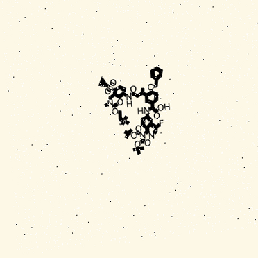 CC(CC(=O)Nc1ccc(S(=O)(=O)C2CC2)c(CN(C)C(=O)OCC[Si](C)(C)C)c1)c1cc(C(Nc2ccc3c(N(C(=O)OC(C)(C)C)C(=O)OC(C)(C)C)ncc(F)c3c2)C(=O)O)ccc1OCc1ccccc1